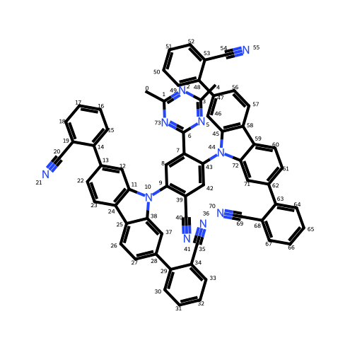 Cc1nc(C)nc(-c2cc(-n3c4cc(-c5ccccc5C#N)ccc4c4ccc(-c5ccccc5C#N)cc43)c(C#N)cc2-n2c3cc(-c4ccccc4C#N)ccc3c3ccc(-c4ccccc4C#N)cc32)n1